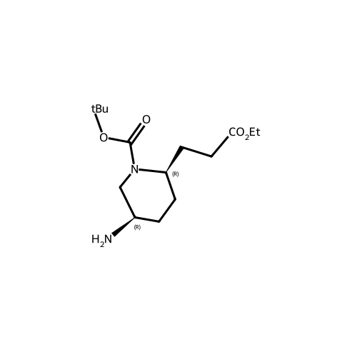 CCOC(=O)CC[C@H]1CC[C@@H](N)CN1C(=O)OC(C)(C)C